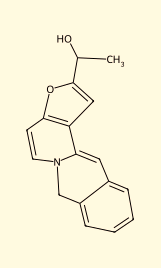 CC(O)c1cc2c(o1)C=CN1Cc3ccccc3C=C21